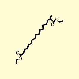 CCOC(=O)CCCCCCCCCCCCCCC(C)C(=O)OCC